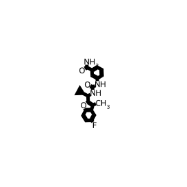 Cc1c(C(NC(=O)Nc2cccc(C(N)=O)c2)C2CC2)oc2ccc(F)cc12